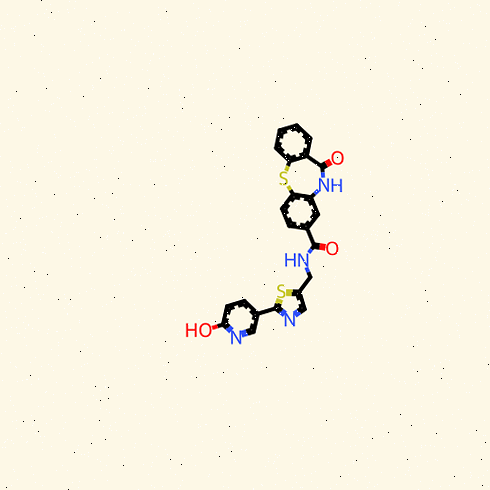 O=C(NCc1cnc(-c2ccc(O)nc2)s1)c1ccc2c(c1)NC(=O)c1ccccc1S2